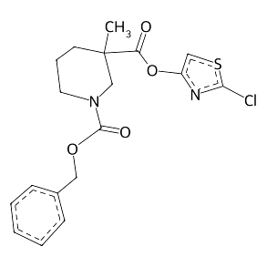 CC1(C(=O)Oc2csc(Cl)n2)CCCN(C(=O)OCc2ccccc2)C1